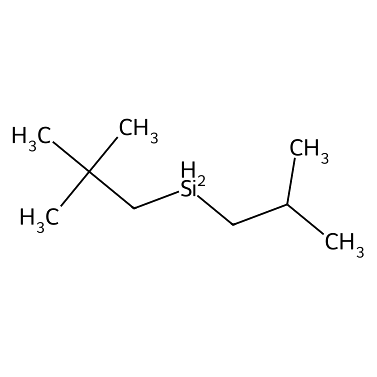 CC(C)C[SiH2]CC(C)(C)C